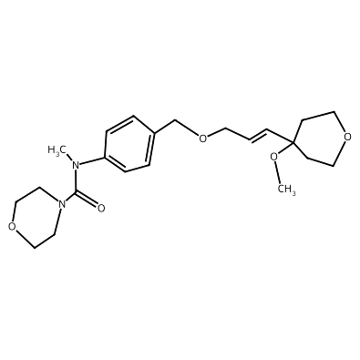 COC1(C=CCOCc2ccc(N(C)C(=O)N3CCOCC3)cc2)CCOCC1